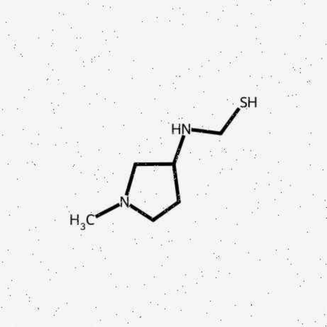 CN1CCC(NCS)C1